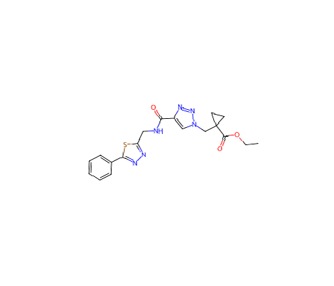 CCOC(=O)C1(Cn2cc(C(=O)NCc3nnc(-c4ccccc4)s3)nn2)CC1